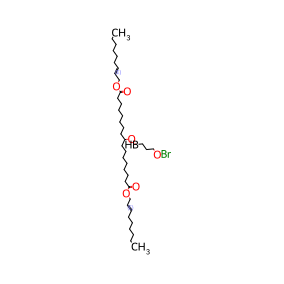 CCCCCC/C=C/COC(=O)CCCCCCCC(CCCCCCCC(=O)OC/C=C/CCCCCC)OBCCCOBr